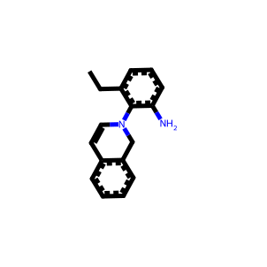 CCc1cccc(N)c1N1C=Cc2ccccc2C1